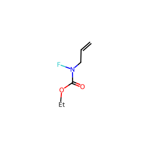 C=CCN(F)C(=O)OCC